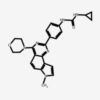 Cn1ccc2c3nc(-c4ccc(NC(=O)NC5CC5)cc4)nc(N4CCOCC4)c3ccc21